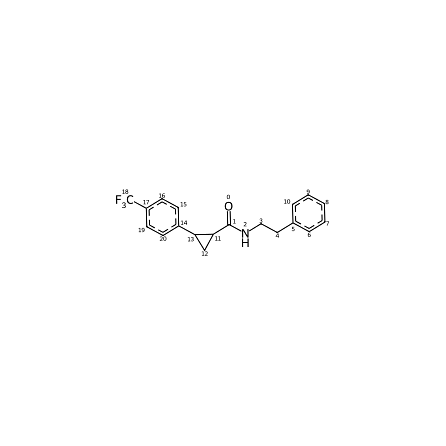 O=C(NCCc1ccccc1)C1CC1c1ccc(C(F)(F)F)cc1